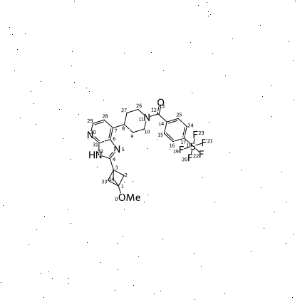 COC12CC(c3nc4c(C5CCN(C(=O)c6ccc(S(F)(F)(F)(F)F)cc6)CC5)ccnc4[nH]3)(C1)C2